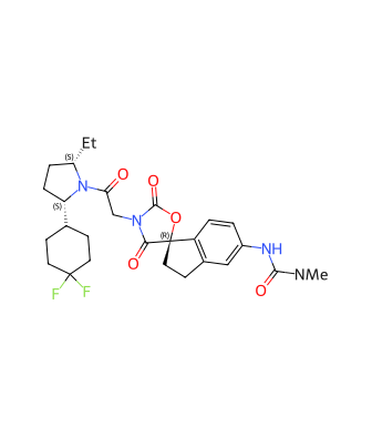 CC[C@H]1CC[C@@H](C2CCC(F)(F)CC2)N1C(=O)CN1C(=O)O[C@@]2(CCc3cc(NC(=O)NC)ccc32)C1=O